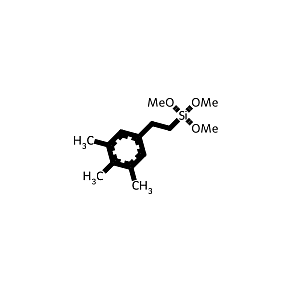 CO[Si](CCc1cc(C)c(C)c(C)c1)(OC)OC